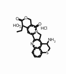 CC[C@@]1(O)C(=O)OCc2c1cc1n(c2=O)Cc2c-1nc1cccc3c1c2C(N)CS3.Cl